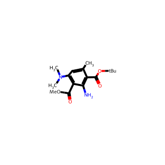 COC(=O)c1c(N(C)C)cc(C)c(C(=O)OC(C)(C)C)c1N